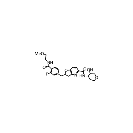 COCCNC(=O)c1ccc(CC2Cc3nc(C(=O)N[C@H]4CCOC[C@@H]4O)ccc3O2)cc1F